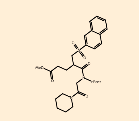 CCCCCN(CC(=O)N1CCCCC1)C(=O)C(CCC(=O)OC)CS(=O)(=O)c1ccc2ccccc2c1